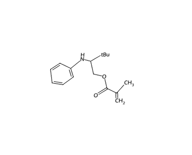 C=C(C)C(=O)OCC(Nc1ccccc1)C(C)(C)C